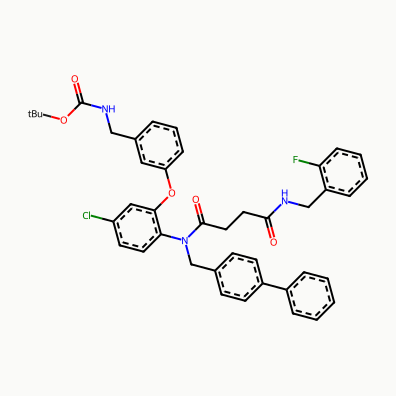 CC(C)(C)OC(=O)NCc1cccc(Oc2cc(Cl)ccc2N(Cc2ccc(-c3ccccc3)cc2)C(=O)CCC(=O)NCc2ccccc2F)c1